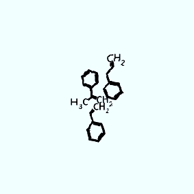 C=C(C)c1ccccc1.C=CCc1ccccc1.C=Cc1ccccc1